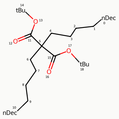 CCCCCCCCCCCCCCC(CCCCCCCCCCCCCC)(C(=O)OC(C)(C)C)C(=O)OC(C)(C)C